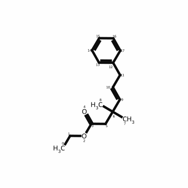 CCOC(=O)CC(C)(C)C=CCc1ccccc1